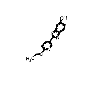 CCOc1ccc(-c2nc3ccc(O)cc3s2)cn1